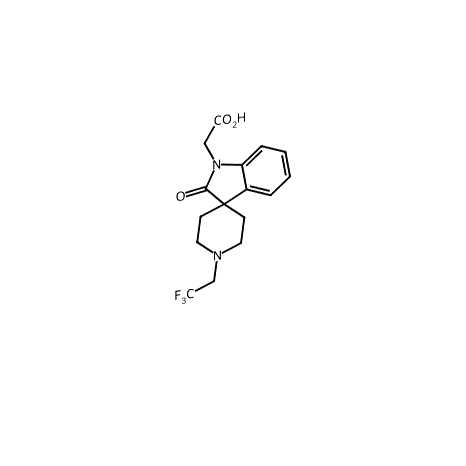 O=C(O)CN1C(=O)C2(CCN(CC(F)(F)F)CC2)c2ccccc21